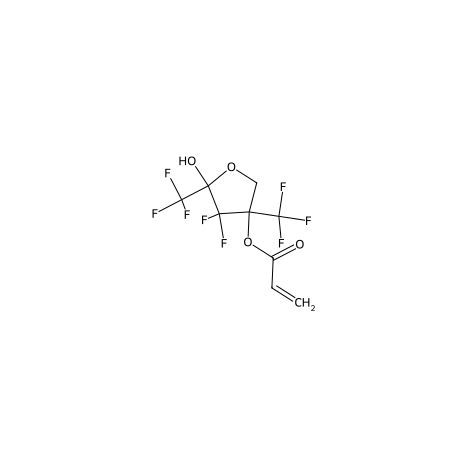 C=CC(=O)OC1(C(F)(F)F)COC(O)(C(F)(F)F)C1(F)F